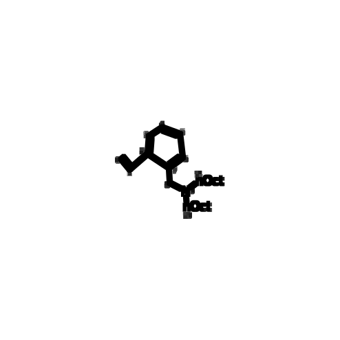 C=Cc1ccccc1CN(CCCCCCCC)CCCCCCCC